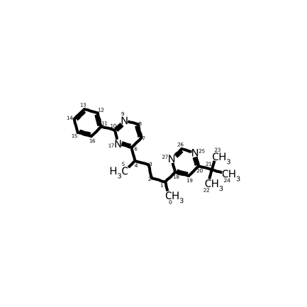 CC(CCC(C)c1ccnc(-c2ccccc2)n1)c1cc(C(C)(C)C)ncn1